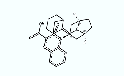 O=C(O)c1nc2ccccc2n([C@H]2C[C@H]3CC[C@@H](C2)N3C=C2C3CCCC2C3)c1=O